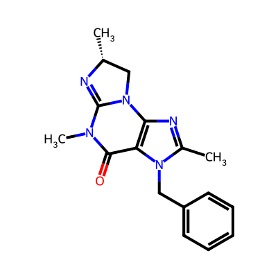 Cc1nc2c(n1Cc1ccccc1)C(=O)N(C)C1=N[C@H](C)CN12